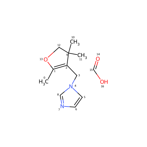 CC1=C(Cn2ccnc2)C(C)(C)CO1.O=CO